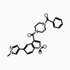 Cn1cc(-c2ccc3c(c2)C(C(=O)N2CCN(C(=O)c4ccccc4)CC2)=CS3(=O)=O)cn1